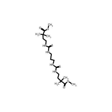 COC(=O)C(C)(C)CCNC(=S)NCCCNC(=S)NCCC(C)(C)C(=O)OC